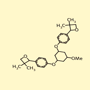 COC1CC(Oc2ccc(C3OCC3(C)C)cc2)CC(Oc2ccc(C3OCC3(C)C)cc2)C1